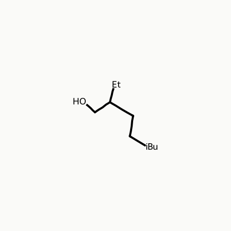 CCC(C)CCC(CC)CO